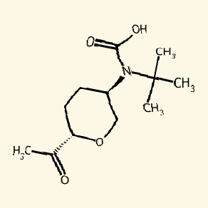 CC(=O)[C@@H]1CC[C@@H](N(C(=O)O)C(C)(C)C)CO1